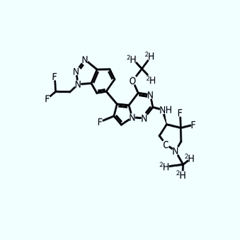 [2H]C([2H])([2H])Oc1nc(N[C@@H]2CCN(C([2H])([2H])[2H])CC2(F)F)nn2cc(F)c(-c3ccc4nnn(CC(F)F)c4c3)c12